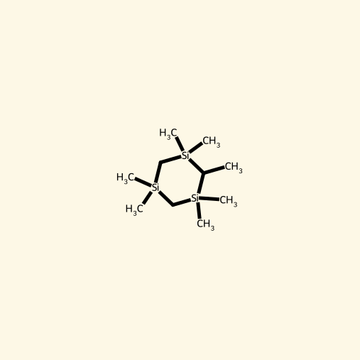 CC1[Si](C)(C)C[Si](C)(C)C[Si]1(C)C